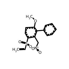 C=CS(=O)(=O)c1ccc(OC)c(-c2ccccc2)c1C[N+](=O)[O-]